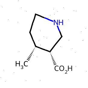 C[C@@H]1CCNC[C@@H]1C(=O)O